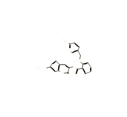 COc1ccc2cc(NC(=O)c3ccccc3NCc3ccc(C#N)nc3)c(=O)oc2c1